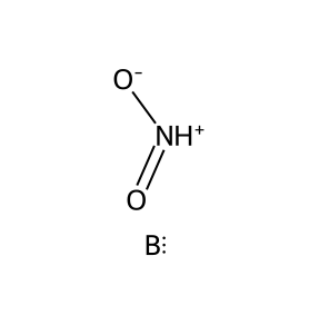 O=[NH+][O-].[B]